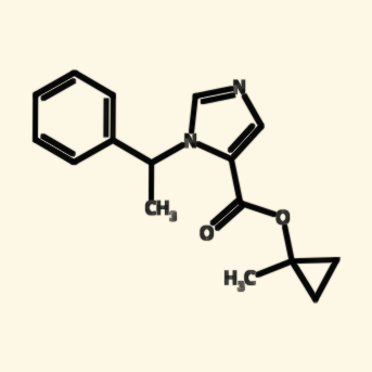 CC(c1ccccc1)n1cncc1C(=O)OC1(C)CC1